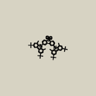 Cc1cc(C(C)(C)C)cc2c3cc(C(C)(C)C)cc(C)c3n(-c3ccc4c(c3)-c3cc(-n5c6c(C)cc(C(C)(C)C)cc6c6cc(C(C)(C)C)cc(C)c65)ccc3S4(=O)=O)c12